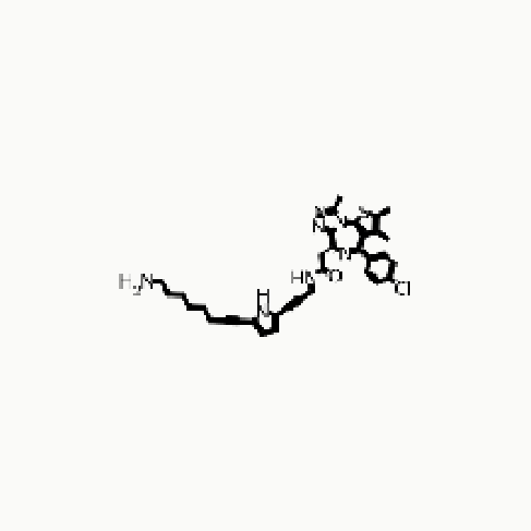 Cc1sc2c(c1C)C(c1ccc(Cl)cc1)=N[C@@H](CC(=O)NCC#Cc1ccc(C#CCCCCCCN)[nH]1)c1nnc(C)n1-2